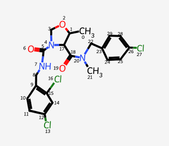 CC1OCN(C(=O)NCc2ccc(Cl)cc2Cl)C1C(=O)N(C)Cc1ccc(Cl)cc1